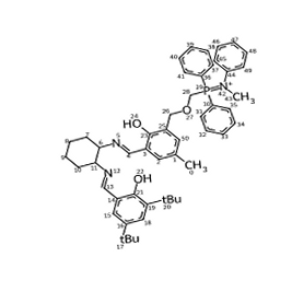 Cc1cc(/C=N/C2CCCCC2/N=C/c2cc(C(C)(C)C)cc(C(C)(C)C)c2O)c(O)c(COCP(c2ccccc2)(c2ccccc2)=[N+](C)c2ccccc2)c1